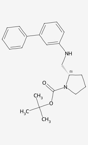 CC(C)(C)OC(=O)N1CCC[C@H]1CNc1cccc(-c2ccccc2)c1